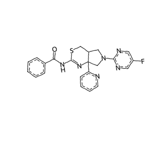 O=C(NC1=NC2(c3ccccn3)CN(c3ncc(F)cn3)CC2CS1)c1ccccc1